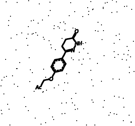 CC(=O)COc1ccc(C2=NNC(=O)CC2)cc1